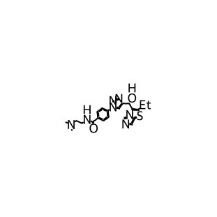 CCc1sc2cncn2c1C(O)c1cn(-c2ccc(C(=O)NCCN(C)C)cc2)nn1